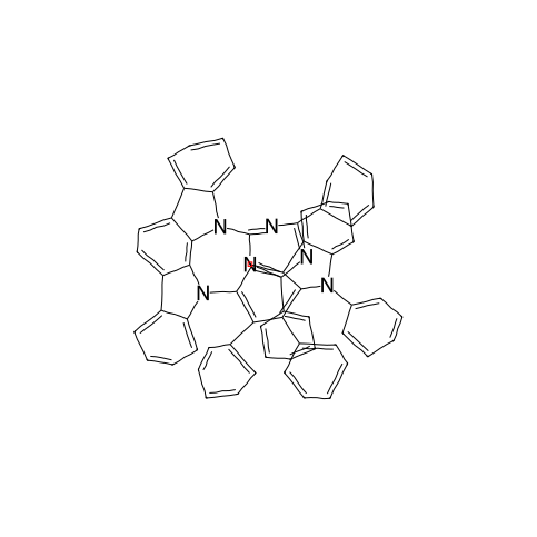 c1ccc(-c2nc(-c3ccccc3)nc(-n3c4ccccc4c4ccc5c6ccccc6n(-c6cc7c8ccccc8n(-c8ccccc8)c7c(-c7ccccc7)c6-c6ccccc6)c5c43)n2)cc1